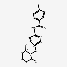 Cc1ccc(C(=O)Nc2ccc(CN3C(C)CCCC3C)cc2)cc1